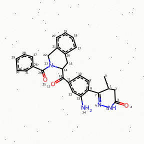 CC1CC(=O)NN=C1c1ccc(C(=O)C2Cc3ccccc3CN2C(=O)c2ccccc2)cc1N